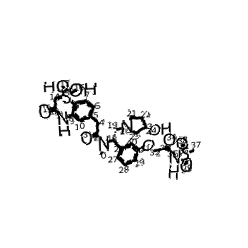 CN(C(=O)Cc1ccc2c(c1)NC(=O)CS2(O)O)[C@H](CN1CC[C@H](O)C1)c1cccc(OCC(=O)NS(C)(=O)=O)c1